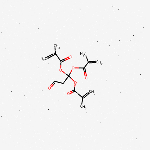 C=C(C)C(=O)OC(CC=O)(OC(=O)C(=C)C)OC(=O)C(=C)C